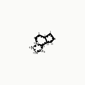 c1cc2ccn3nnsc3c-2c1